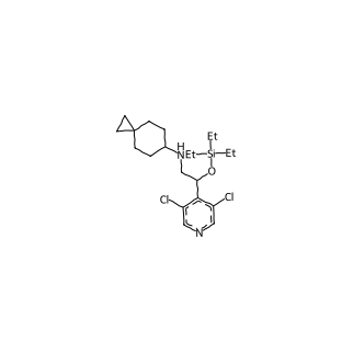 CC[Si](CC)(CC)OC(CNC1CCC2(CC1)CC2)c1c(Cl)cncc1Cl